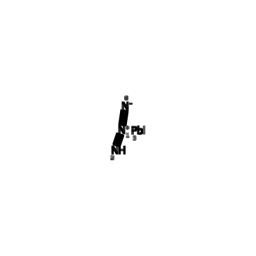 [N-]=[N+]=N.[Pb]